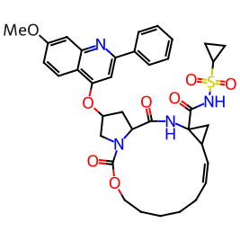 COc1ccc2c(OC3CC4C(=O)NC5(C(=O)NS(=O)(=O)C6CC6)CC5C=CCCCCCOC(=O)N4C3)cc(-c3ccccc3)nc2c1